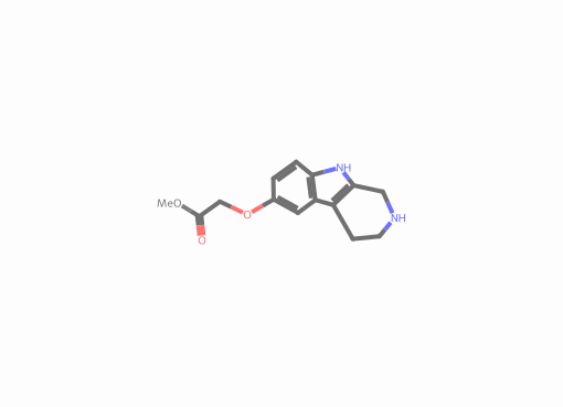 COC(=O)COc1ccc2[nH]c3c(c2c1)CCNC3